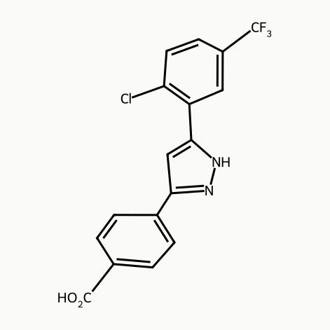 O=C(O)c1ccc(-c2cc(-c3cc(C(F)(F)F)ccc3Cl)[nH]n2)cc1